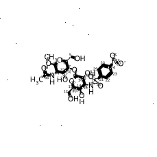 CO[C@H]1O[C@H](CO)[C@@H](O[C@@H]2O[C@H](CO)[C@H](O)[C@@H](NS(=O)(=O)c3ccc([N+](=O)[O-])cc3)[C@H]2O)[C@H](O)[C@@H]1NC(C)=O